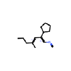 C=N/C=C(/C=C(\C)CCC)C1CCCC1